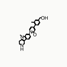 Cc1cc(CO)ccc1-c1ccn(-c2ccc3c4c(n(C)c3c2)CCNC4)c(=O)c1